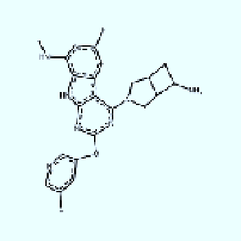 CNc1cc(F)cc2c1[nH]c1nc(Oc3cncc(F)c3)nc(N3CC4CC(N)C4C3)c12